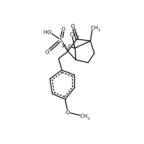 COc1ccc(CC2(S(=O)(=O)O)C(=O)C3(C)CCC2C3(C)C)cc1